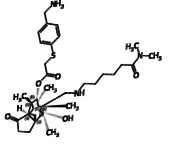 C[C@@H]1CC[C@@]23CCC(=O)[C@H]2[C@]1(C)[C@H](OC(=O)CSc1ccc(CN)cc1)C[C@](C)(CNCCCCCC(=O)N(C)C)[C@@H](O)[C@@H]3C